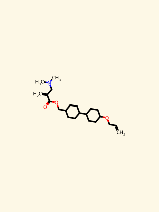 C=CCOC1CCC(C2CCC(COC(=O)C(=C)CN(C)C)CC2)CC1